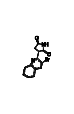 O=C1CC(c2nc3ccccc3cc2Br)C(=O)N1